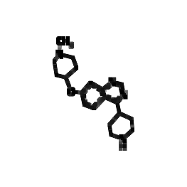 CN1CCC(Oc2ccc3c(C4CCNCC4)ncnc3c2)CC1